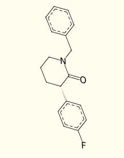 O=C1[C@H](c2ccc(F)cc2)CCCN1Cc1ccccc1